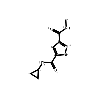 CNC(=O)c1cc(C(=O)NC2CC2)[nH]n1